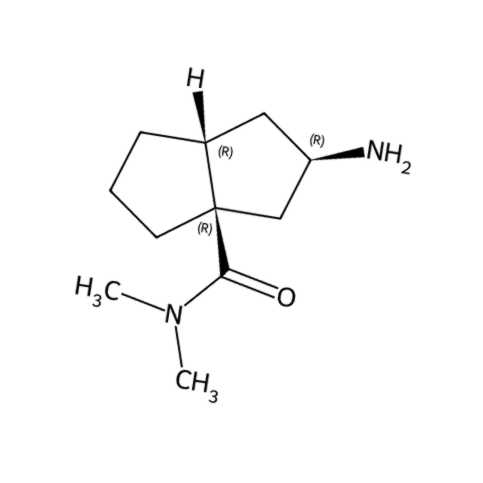 CN(C)C(=O)[C@@]12CCC[C@@H]1C[C@@H](N)C2